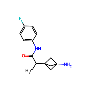 CC(C(=O)Nc1ccc(F)cc1)C12CC(N)(C1)C2